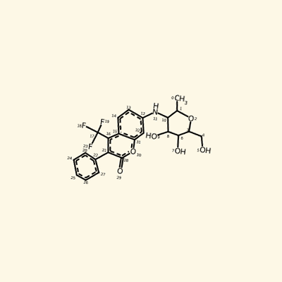 CC1OC(CO)C(O)C(O)C1Nc1ccc2c(C(F)(F)F)c(-c3ccccc3)c(=O)oc2c1